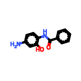 Nc1ccc(NC(=O)c2ccccc2)c(O)c1